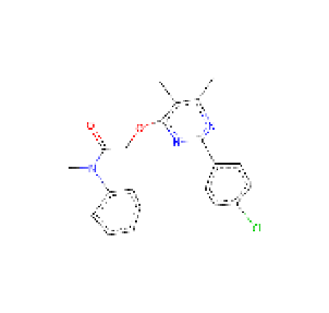 Cc1nc(-c2ccc(Cl)cc2)nc(OCC(=O)N(C)c2ccccc2)c1C